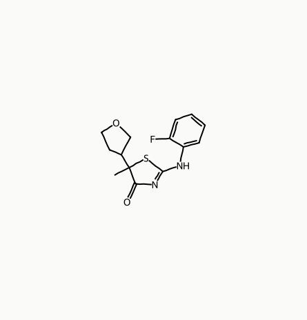 CC1(C2CCOC2)SC(Nc2ccccc2F)=NC1=O